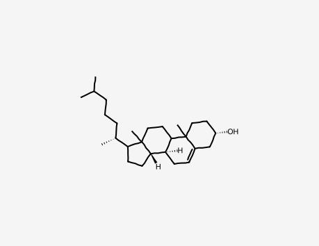 CC(C)CCC[C@@H](C)C1CC[C@H]2[C@@H]3CC=C4C[C@@H](O)CCC4(C)C3CCC12C